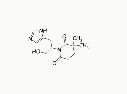 CC1(C)CCC(=O)N(C(CO)Cc2cnc[nH]2)C1=O